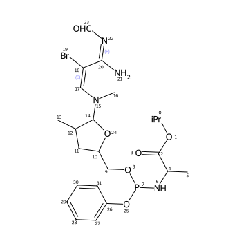 CC(C)OC(=O)C(C)NP(OCC1CC(C)C(N(C)/C=C(Br)\C(N)=N/C=O)O1)Oc1ccccc1